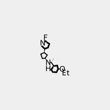 CCOc1cccc([C@@H](C)N[C@H]2CC[C@@H](c3ccc(F)nc3)C2)c1